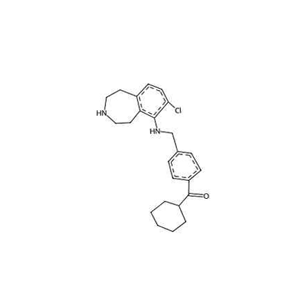 O=C(c1ccc(CNc2c(Cl)ccc3c2CCNCC3)cc1)C1CCCCC1